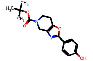 CC(C)(C)OC(=O)N1CCc2oc(-c3ccc(O)cc3)nc2C1